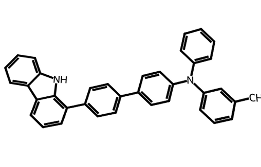 Cc1cccc(N(c2ccccc2)c2ccc(-c3ccc(-c4cccc5c4[nH]c4ccccc45)cc3)cc2)c1